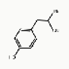 CC(C)(C)C(Cc1ccc(O)cc1)C(C)(C)C